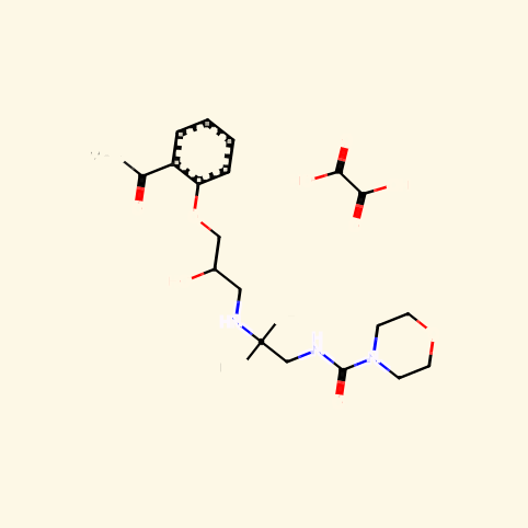 COC(=O)c1ccccc1OCC(O)CNC(C)(C)CNC(=O)N1CCOCC1.O=C(O)C(=O)O